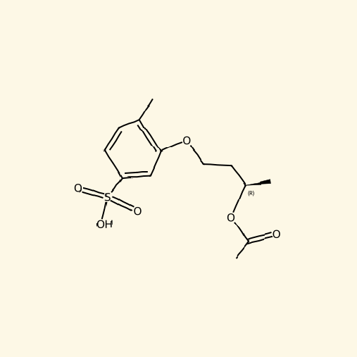 CC(=O)O[C@H](C)CCOc1cc(S(=O)(=O)O)ccc1C